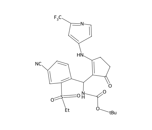 CCS(=O)(=O)c1cc(C#N)ccc1C(NC(=O)OC(C)(C)C)C1=C(Nc2ccnc(C(F)(F)F)c2)CCC1=O